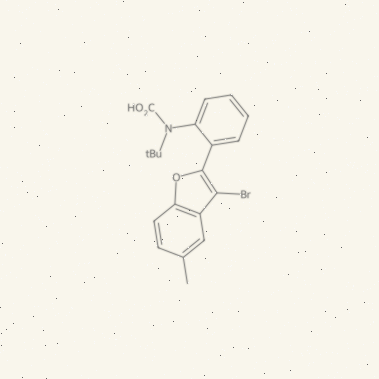 Cc1ccc2oc(-c3ccccc3N(C(=O)O)C(C)(C)C)c(Br)c2c1